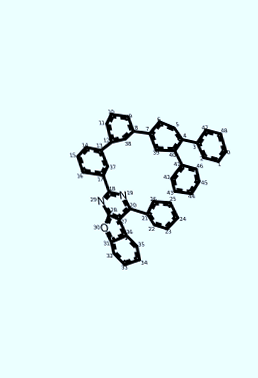 c1ccc(-c2ccc(-c3cccc(-c4cccc(-c5nc(-c6ccccc6)c6c(n5)oc5ccccc56)c4)c3)cc2-c2ccccc2)cc1